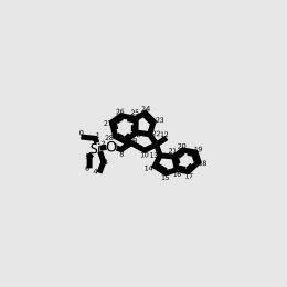 CC[Si](CC)(CC)OCCCC(C)(C1C=Cc2ccccc21)C1C=Cc2ccccc21